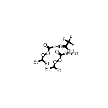 CCCCCCCC(=O)OOC(CC)CC.CCCCCCCC(=O)OOC(CC)CC.O=C(O)C(F)(F)F